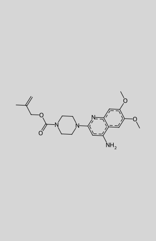 C=C(C)COC(=O)N1CCN(c2cc(N)c3cc(OC)c(OC)cc3n2)CC1